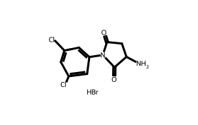 Br.NC1CC(=O)N(c2cc(Cl)cc(Cl)c2)C1=O